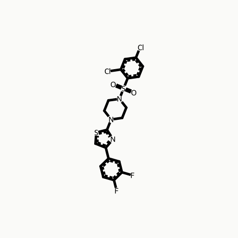 O=S(=O)(c1ccc(Cl)cc1Cl)N1CCN(c2nc(-c3ccc(F)c(F)c3)cs2)CC1